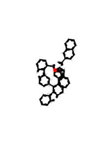 c1ccc(-c2nc(-c3ccc4ccccc4c3)nc(-c3cccc4oc5ccc(-c6c(-c7ccccc7)ccc7sc8ccccc8c67)cc5c34)n2)cc1